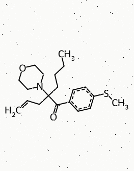 C=CCC(CCCC)(C(=O)c1ccc(SC)cc1)N1CCOCC1